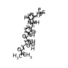 CN(C)C(=O)C=CCCC(NC(=O)O)C(=O)Nc1cccn(Cc2nc3c(F)cnc(CCC(F)(F)F)c3[nH]2)c1=O